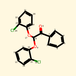 O=C(c1ccccc1)C(Oc1ccccc1Cl)Oc1ccccc1Cl